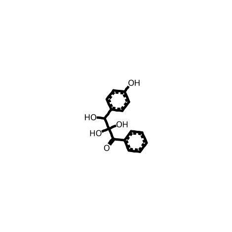 O=C(c1ccccc1)C(O)(O)C(O)c1ccc(O)cc1